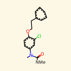 CNC(=O)N(C)c1ccc(OCCc2ccccc2)c(Cl)c1